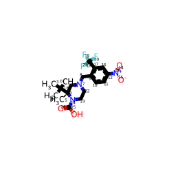 CC(C)(C)[C@@]1(C)CN(Cc2ccc([N+](=O)[O-])cc2C(F)(F)F)CCN1C(=O)O